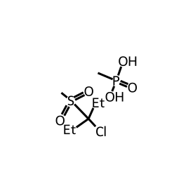 CCC(Cl)(CC)S(C)(=O)=O.CP(=O)(O)O